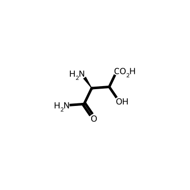 NC(=O)[C@@H](N)C(O)C(=O)O